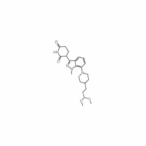 COC(CCC1CCN(c2cccc3c(C4CCC(=O)NC4=O)nn(C)c23)CC1)OC